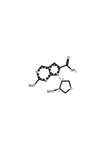 CO[C@@H]1COC[C@H]1n1c(C(N)=O)cc2cnc(SC)nc21